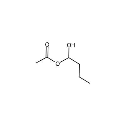 CCCC(O)OC(C)=O